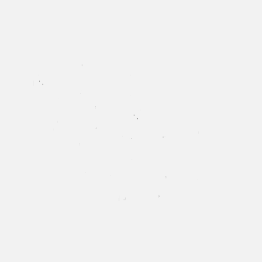 CCCCc1c[c]c2c3c(C(N)=O)cccc3n(Cc3cc(C)cc(C)c3)c2c1